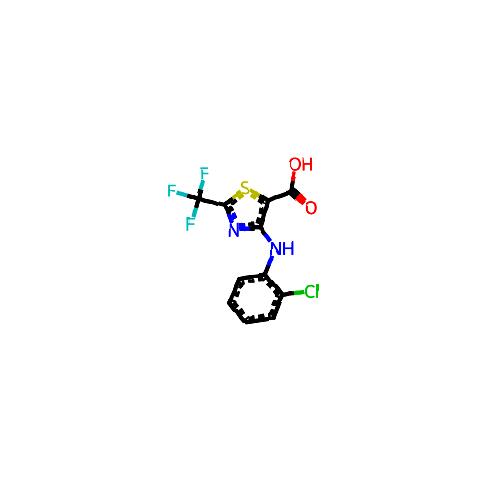 O=C(O)c1sc(C(F)(F)F)nc1Nc1ccccc1Cl